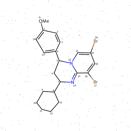 COc1ccc(C2CC(C3CCCCC3)N=C3C(Br)=CC(Br)=CN32)cc1